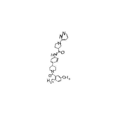 Cc1ccc(C)c(C(=O)N2CCC(c3ccc(NC(=O)[C@H]4CCN(c5cccnn5)C4)cc3)CC2)c1